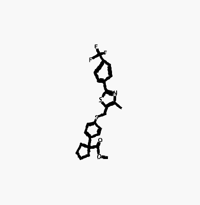 COC(=O)C1(c2ccc(SCc3sc(-c4ccc(C(F)(F)F)cc4)nc3C)cc2)CCCC1